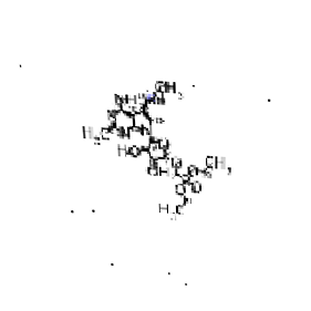 CCOP(=O)(CO[C@H]1O[C@@H](n2cc(/C=N/C)c3c(N)nc(C)nc32)[C@H](O)[C@@H]1O)OCC